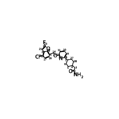 NC(=O)CC1CCC(c2cccc(OCc3ccc(Cl)c4cc(F)oc34)n2)CC1